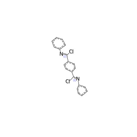 Cl/C(=N\c1ccccc1)c1ccc(/C(Cl)=N/c2ccccc2)cc1